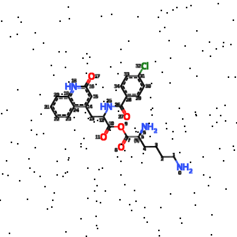 NCCCC[C@H](N)C(=O)OC(=O)C(Cc1cc(=O)[nH]c2ccccc12)NC(=O)c1ccc(Cl)cc1